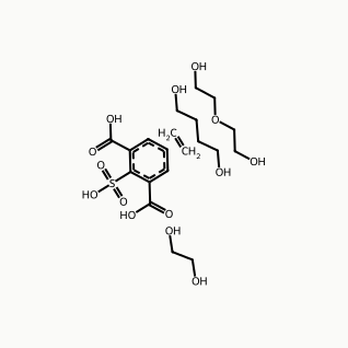 C=C.O=C(O)c1cccc(C(=O)O)c1S(=O)(=O)O.OCCCCO.OCCO.OCCOCCO